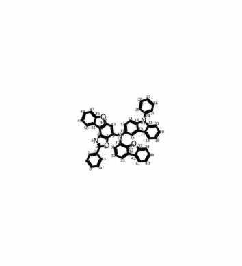 c1ccc(-c2nc3c(o2)c(N(c2ccc4c(c2)c2ccccc2n4-c2ccccc2)c2cccc4c2oc2ccccc24)cc2oc4ccccc4c23)cc1